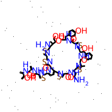 C=C(O)C(=C)NC(=O)C(=C)NC(=O)c1csc(-c2ccc3c([n+]2[O-])-c2csc(n2)-c2csc(n2)C(N)C(C)C(CO)OC(=O)C(Cc2ccc(O)cc2)NC(=O)c2csc(n2)C(C(O)c2ccccc2)NC(=O)c2nc(sc2C)C(CC(N)=O)NC(=O)c2csc-3n2)n1